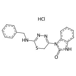 Cl.O=c1[nH]c2ccccc2n1C1=NN=C(NCc2ccccc2)SC1